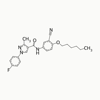 CCCCCCOc1ccc(NC(=O)c2cn(-c3ccc(F)cc3)nc2C)cc1C#N